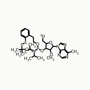 [2H]CC1OC(n2cnc3c(C)ncnc32)C(OC)C1OP(OCCc1ccccc1SSC(C)(C)C)N(C(C)C)C(C)C